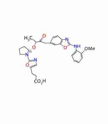 COc1ccccc1Nc1nc2ccc(CC(=O)C(C)O[C@H]3CCCN3c3ncc(CCC(=O)O)o3)cc2o1